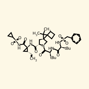 C=C[C@@H]1C[C@]1(NC(=O)[C@@H]1C[C@@]2(CN1C(=O)[C@@H](NC(=O)[C@@H](NS(=O)(=O)Cc1ccccc1)C(C)(C)C)C(C)(C)C)C(C)(C)C21CCC1)C(=O)NS(=O)(=O)C1CC1